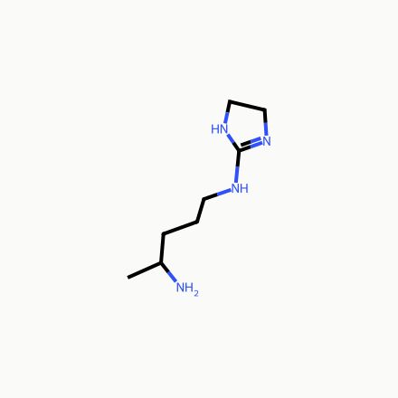 CC(N)CCCNC1=NCCN1